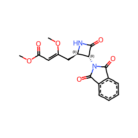 COC(=O)C=C(C[C@H]1NC(=O)[C@@H]1N1C(=O)c2ccccc2C1=O)OC